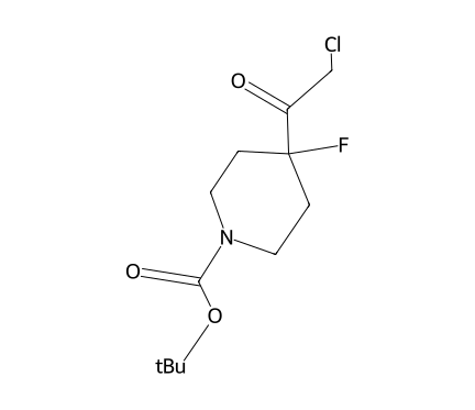 CC(C)(C)OC(=O)N1CCC(F)(C(=O)CCl)CC1